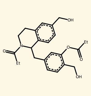 CCC(=O)Oc1cc(CC2c3ccc(CO)cc3CCN2C(=O)CC)ccc1CO